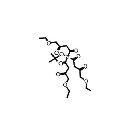 CCOCC(=O)C[C](=O)[Zr]([O]C(C)(C)C)([C](=O)CC(=O)COCC)[C](=O)CC(=O)COCC